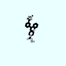 Cn1nnc(-c2cccc(C3=CC4(CCN(C(=O)OC(C)(C)C)CC4)Oc4ccccc43)c2)n1